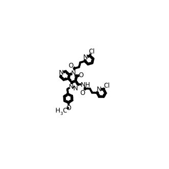 COc1ccc(Cn2nc(NC(=O)CCc3cccc(Cl)n3)c3c(=O)n(C(=O)CCc4cccc(Cl)n4)c4cnccc4c32)cc1